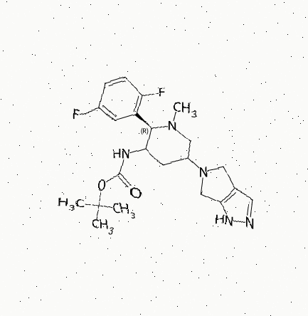 CN1CC(N2Cc3cn[nH]c3C2)CC(NC(=O)OC(C)(C)C)[C@H]1c1cc(F)ccc1F